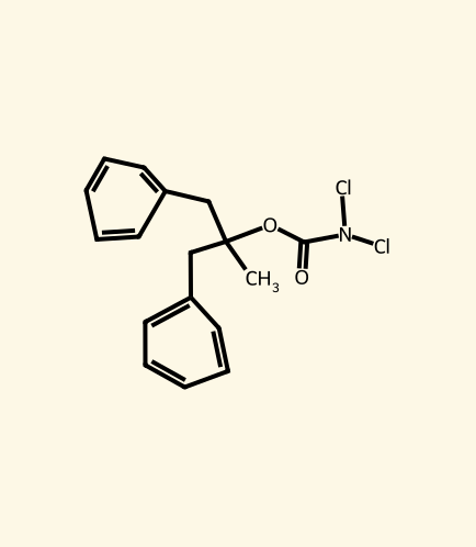 CC(Cc1ccccc1)(Cc1ccccc1)OC(=O)N(Cl)Cl